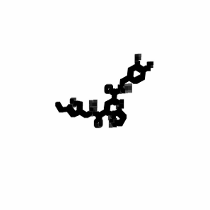 CCc1cc(CNC(=O)c2cc(C(=O)NCc3ccc(F)c(F)c3)nc3ccnn23)cs1